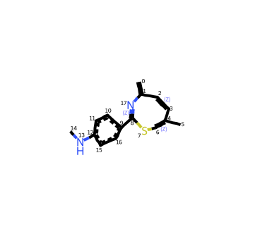 C=C1/C=C\C(C)=C/S/C(c2ccc(NC)cc2)=N\1